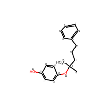 CC(CCCc1ccccc1)(Oc1ccc(O)cc1)C(=O)O